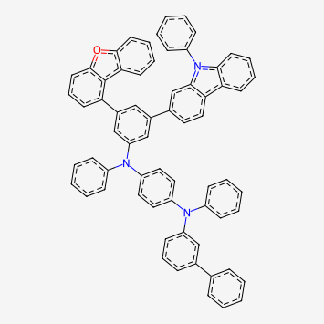 c1ccc(-c2cccc(N(c3ccccc3)c3ccc(N(c4ccccc4)c4cc(-c5ccc6c7ccccc7n(-c7ccccc7)c6c5)cc(-c5cccc6oc7ccccc7c56)c4)cc3)c2)cc1